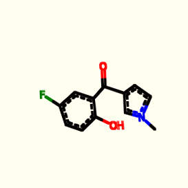 Cn1ccc(C(=O)c2cc(F)ccc2O)c1